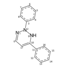 C1=NN(c2ccccc2)NC(c2ccccc2)=C1